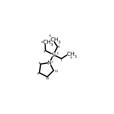 CC[Si](CC)(CC)N1CCCC1